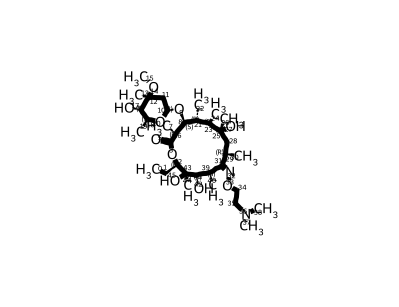 CC[C@H]1OC(=O)[C@H](C)[C@@H](O[C@H]2C[C@@](C)(OC)[C@@H](O)[C@H](C)O2)[C@H](C)[C@@H](C)[C@](C)(O)C[C@@H](C)C(=NOCCN(C)C)[C@H](C)[C@H](O)[C@]1(C)O